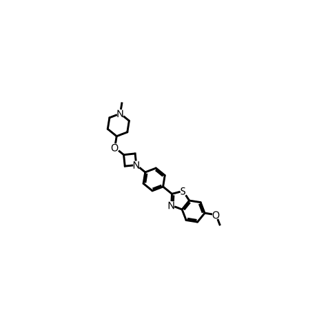 COc1ccc2nc(-c3ccc(N4CC(OC5CCN(C)CC5)C4)cc3)sc2c1